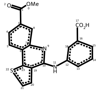 COC(=O)c1ccc2c(c1)nc(Nc1cccc(C(=O)O)c1)c1ccsc12